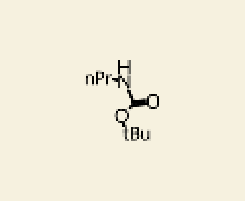 [CH2]CCNC(=O)OC(C)(C)C